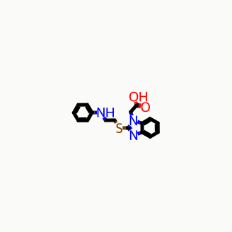 O=C(O)Cn1c(SCCNc2ccccc2)nc2ccccc21